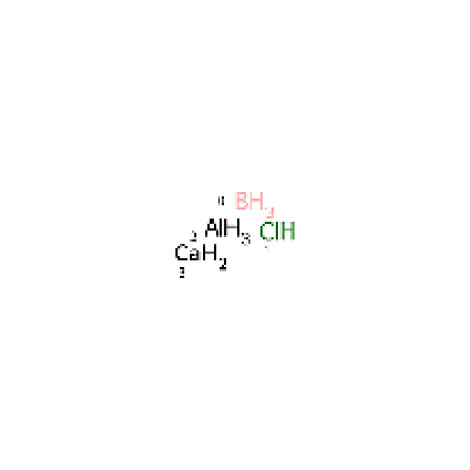 B.Cl.[AlH3].[CaH2]